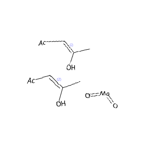 CC(=O)/C=C(/C)O.CC(=O)/C=C(/C)O.[O]=[Mo]=[O]